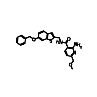 COCc1ccc(C(=O)NCc2cc3ccc(OCc4ccccc4)cc3s2)c(N)n1